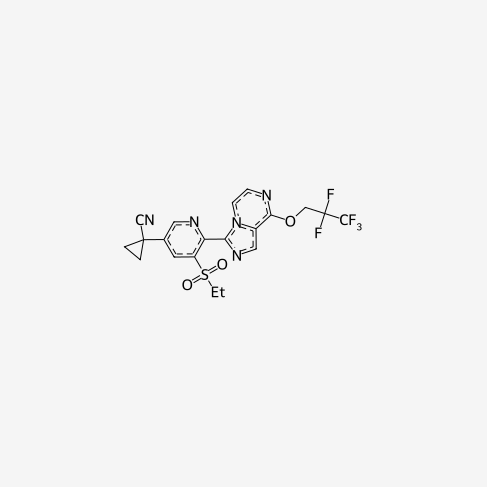 CCS(=O)(=O)c1cc(C2(C#N)CC2)cnc1-c1ncc2c(OCC(F)(F)C(F)(F)F)nccn12